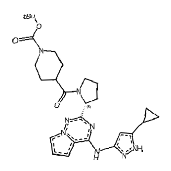 CC(C)(C)OC(=O)N1CCC(C(=O)N2CCC[C@@H]2c2nc(Nc3cc(C4CC4)[nH]n3)c3cccn3n2)CC1